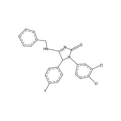 O=C1N=C(NCc2ccccc2)C(c2ccc(F)cc2)N1c1ccc(Cl)c(Cl)c1